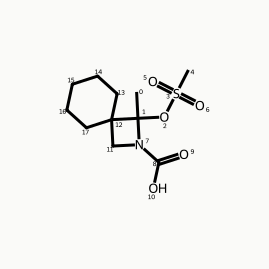 CC1(OS(C)(=O)=O)N(C(=O)O)CC12CCCCC2